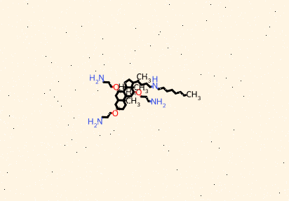 CCCCCCCCNCCCC(C)C1CC[C@H]2C3[C@H](OCCCN)CC4C[C@H](OCCCN)CCC4(C)[C@H]3C[C@H](OCCCN)C12C